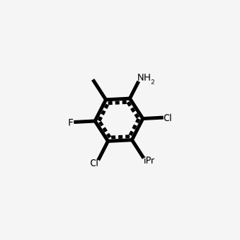 Cc1c(N)c(Cl)c(C(C)C)c(Cl)c1F